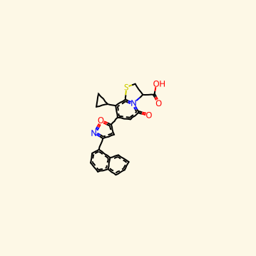 O=C(O)C1CSc2c(C3CC3)c(-c3cc(-c4cccc5ccccc45)no3)cc(=O)n21